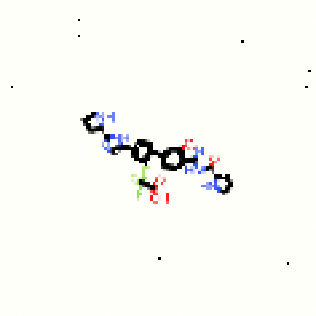 O=C(Nc1noc2cc(-c3ccc(-c4cnc([C@@H]5CCCN5)[nH]4)cc3)ccc12)[C@@H]1CCCN1.O=C(O)C(F)(F)F